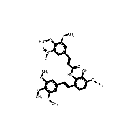 COc1ccc(/C=C/c2cc(OC)c(OC)c(OC)c2)c(NC(=O)/C=C/c2cc(OC)c(OC)c([N+](=O)[O-])c2)c1O